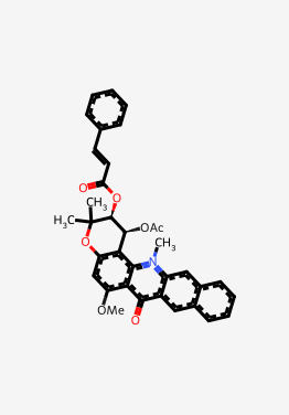 COc1cc2c(c3c1c(=O)c1cc4ccccc4cc1n3C)[C@H](OC(C)=O)[C@H](OC(=O)C=Cc1ccccc1)C(C)(C)O2